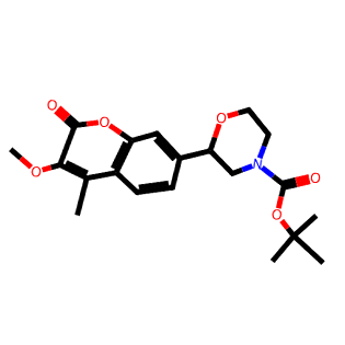 COc1c(C)c2ccc(C3CN(C(=O)OC(C)(C)C)CCO3)cc2oc1=O